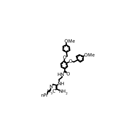 CCC/C=C/N=C\C(NCCNC(=O)c1ccc(OCc2ccc(OC)cc2)c(OCc2ccc(OC)cc2)c1)=C(/C)N